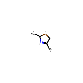 CC1N=C(C(C)C)CS1